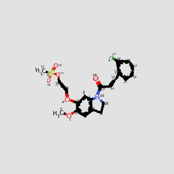 COc1cc2c(cc1OCCOS(C)(=O)=O)N(C(=O)C=Cc1ccccc1Cl)CC2